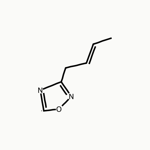 CC=CCc1n[c]on1